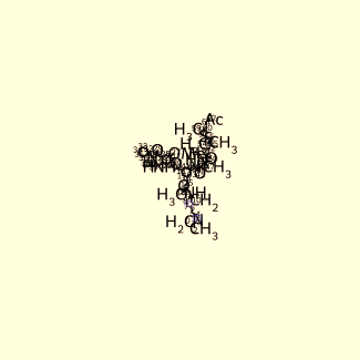 C=C(C)/N=C\CC/C=C\C(=C)NC(C)OCc1cc(COc2cc3c(cc2OC)C(=O)N2c4ccccc4C[C@H]2CN3)cc(NC(=O)[C@H](C)NC(=O)CCC(C)(C)SSC(C)CCC(C)=O)c1